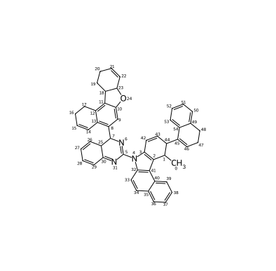 CC1c2c(n(C3=NC(c4cc5c(c6c4C=CCC6)C4CCC=CC4O5)C4C=CC=CC4=N3)c3ccc4ccccc4c23)C=CC1C1=CCCc2ccccc21